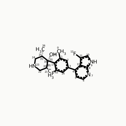 Cc1cc(-c2ccnc3[nH]cc(F)c23)cc(F)c1[C@@]1(O)[C@H](C)CNC[C@@H]1C